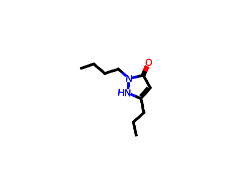 CCCCn1[nH]c(CCC)cc1=O